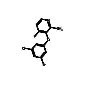 Cc1ccnc(N)c1Oc1cc(Cl)cc(Br)c1